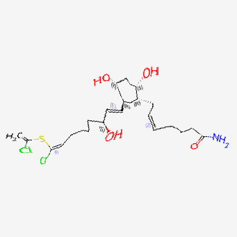 C=C(Cl)S/C(Cl)=C\CCC[C@H](O)/C=C/[C@@H]1[C@@H](C/C=C\CCCC(N)=O)[C@@H](O)C[C@H]1O